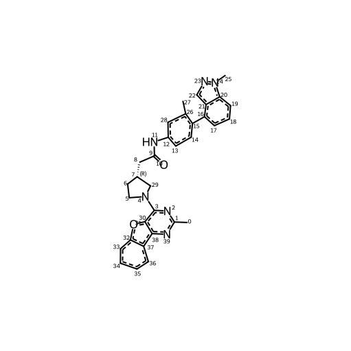 Cc1nc(N2CC[C@H](CC(=O)Nc3ccc(-c4cccc5c4cnn5C)c(C)c3)C2)c2oc3ccccc3c2n1